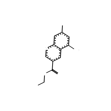 CCOC(=O)c1cnc2cc(O)cc(O)c2c1